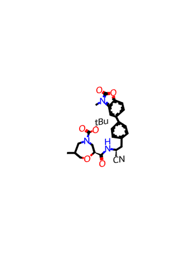 CC1CO[C@H](C(=O)N[C@H](C#N)Cc2ccc(-c3ccc4oc(=O)n(C)c4c3)cc2)CN(C(=O)OC(C)(C)C)C1